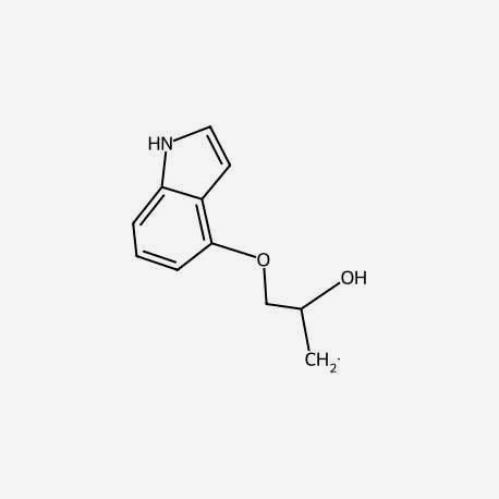 [CH2]C(O)COc1cccc2[nH]ccc12